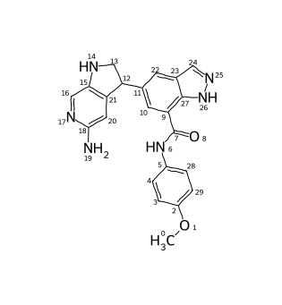 COc1ccc(NC(=O)c2cc(C3CNc4cnc(N)cc43)cc3cn[nH]c23)cc1